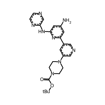 CC(C)(C)OC(=O)N1CCN(c2cncc(-c3cc(N)cc(Nc4cnccn4)n3)c2)CC1